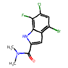 CN(C)C(=O)c1cc2c(Br)cc(Cl)c(F)c2[nH]1